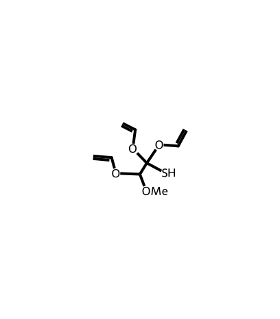 C=COC(OC)C(S)(OC=C)OC=C